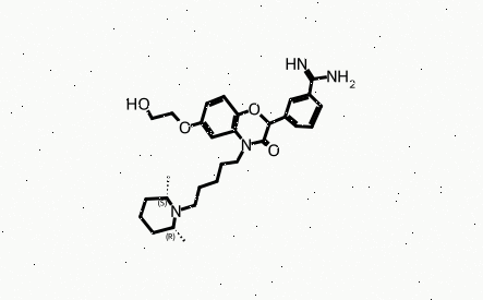 C[C@@H]1CCC[C@H](C)N1CCCCCN1C(=O)C(c2cccc(C(=N)N)c2)Oc2ccc(OCCO)cc21